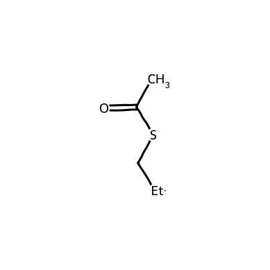 C[CH]CSC(C)=O